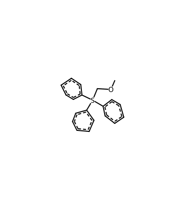 COCS(c1ccccc1)(c1ccccc1)c1ccccc1